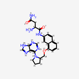 NC(=O)CC(N)C(=O)Nc1ccc2cccc(OCC3CCCN3c3ncnc4[nH]cnc34)c2c1